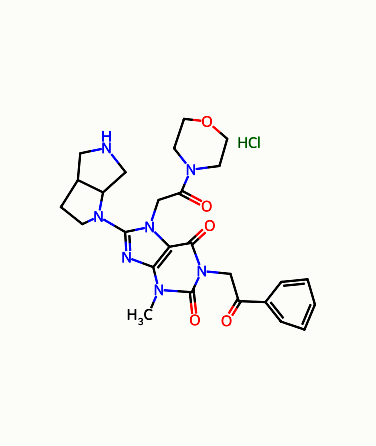 Cl.Cn1c(=O)n(CC(=O)c2ccccc2)c(=O)c2c1nc(N1CCC3CNCC31)n2CC(=O)N1CCOCC1